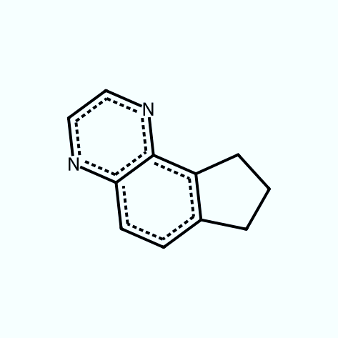 c1cnc2c3c(ccc2n1)CCC3